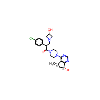 C[C@@H]1C[C@@H](O)c2ncnc(N3CCN(C(=O)C(CN4CC(O)C4)c4ccc(Cl)cc4)CC3)c21